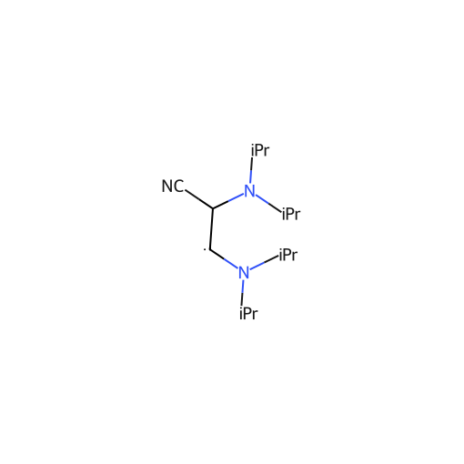 CC(C)N([CH]C(C#N)N(C(C)C)C(C)C)C(C)C